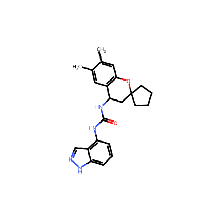 Cc1cc2c(cc1C)C(NC(=O)Nc1cccc3[nH]ncc13)CC1(CCCC1)O2